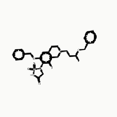 CC(CCN1CCc2cc(OCc3ccccc3)c(N3CC(=O)NS3(=O)=O)c(F)c2C1)OCc1ccccc1